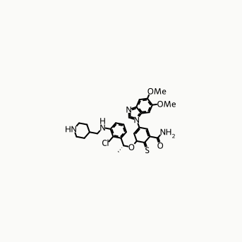 COc1cc2ncn(C3=CC(O[C@H](C)c4cccc(NCC5CCNCC5)c4Cl)C(=S)C(C(N)=O)=C3)c2cc1OC